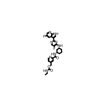 CCNC(=O)OCc1ccnc(C(=O)N[C@@H]2CCC[C@H](Nc3nc(-c4c[nH]c5ncc(F)cc45)ncc3F)C2)c1